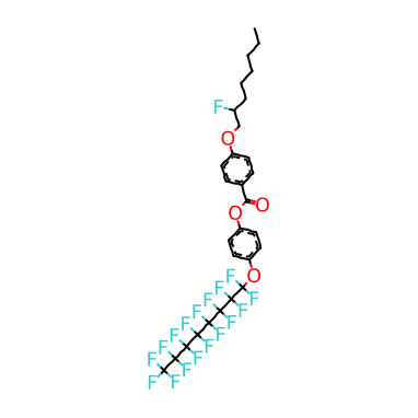 CCCCCCC(F)COc1ccc(C(=O)Oc2ccc(OC(F)(F)C(F)(F)C(F)(F)C(F)(F)C(F)(F)C(F)(F)C(F)(F)C(F)(F)F)cc2)cc1